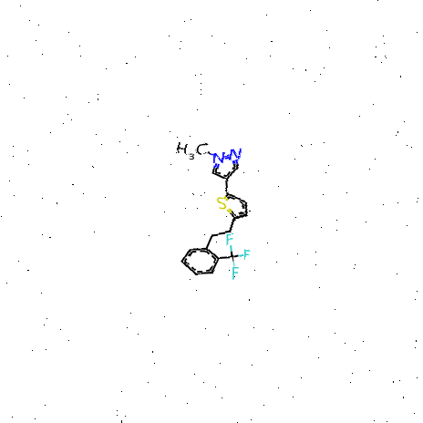 Cn1cc(-c2ccc(CCc3ccccc3C(F)(F)F)s2)cn1